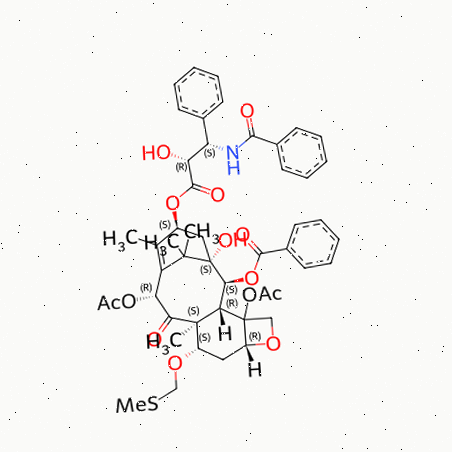 CSCO[C@H]1C[C@H]2OCC2(OC(C)=O)[C@H]2[C@H](OC(=O)c3ccccc3)[C@]3(O)C[C@H](OC(=O)[C@H](O)[C@@H](NC(=O)c4ccccc4)c4ccccc4)C(C)=C([C@@H](OC(C)=O)C(=O)[C@]12C)C3(C)C